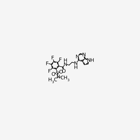 CN(C)S(=O)(=O)c1c(F)c(F)c(F)c(F)c1C(=O)NCCNc1ncnc2[nH]ccc12